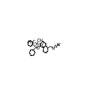 CC(C)(C)[Si](Oc1cccc2c(CN=[N+]=[N-])cccc12)(c1ccccc1)c1ccccc1